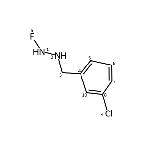 FNNCc1cccc(Cl)c1